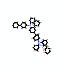 c1ccc(-c2ccc(N(c3ccccc3)c3ccc(-c4ccc(N(c5ccccc5)c5cccc6c5oc5ccccc56)cc4)cc3-c3ccccc3)cc2)cc1